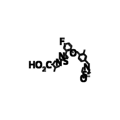 Cc1cc(CN2CC[S+]([O-])CC2)ccc1COc1ccc(F)cc1-c1csc(N2CC(C)C(C(=O)O)C2)n1